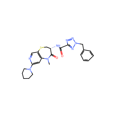 CN1C(=O)[C@@H](NC(=O)c2nnn(Cc3ccccc3)n2)CSc2cnc(N3CCCCC3)cc21